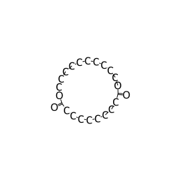 O=C1CCCCCCCCC(=O)OCCCCCCCCCCO1